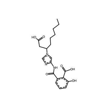 CCCCCCC(CC(=O)O)n1cnc(NC(=O)c2cccc(O)c2C(=O)O)c1